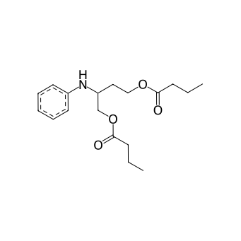 CCCC(=O)OCCC(COC(=O)CCC)Nc1ccccc1